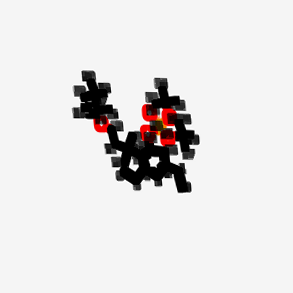 C=Cc1cc(C=C)c(C(C)(C)CCO[Si](C)(C)C(C)(C)C)c(OP(=O)(OC(C)(C)C)OC(C)(C)C)c1